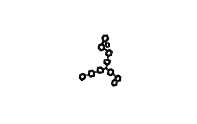 c1ccc(-c2ccc(-c3ccc(C(c4ccc(-c5cccc(-c6cccc7c6oc6ccccc67)c5)cc4)c4ccc(-c5cccc6ccccc56)cc4)cc3)cc2)cc1